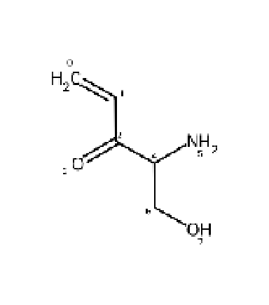 C=CC(=O)C(N)CO